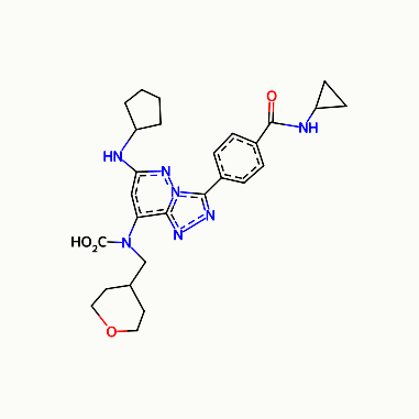 O=C(NC1CC1)c1ccc(-c2nnc3c(N(CC4CCOCC4)C(=O)O)cc(NC4CCCC4)nn23)cc1